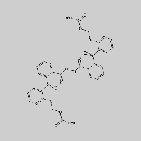 CCCCC(=O)OCOc1ccccc1C(=O)c1ccccc1C(=O)OOC(=O)c1ccccc1C(=O)c1ccccc1OCOC(=O)CCCC